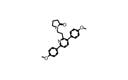 COc1ccc(-c2ccc(-c3ccc(OC)cc3)c(CCN3CCCC3=O)n2)cc1